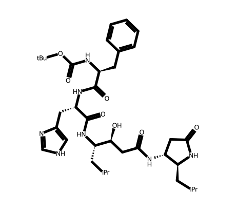 CC(C)C[C@H](NC(=O)[C@H](Cc1c[nH]cn1)NC(=O)[C@H](Cc1ccccc1)NC(=O)OC(C)(C)C)[C@@H](O)CC(=O)N[C@@H]1CC(=O)N[C@H]1CC(C)C